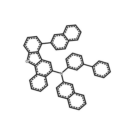 c1ccc(-c2cccc(N(c3ccc4ccccc4c3)c3cc4c(oc5cccc(-c6ccc7ccccc7c6)c54)c4ccccc34)c2)cc1